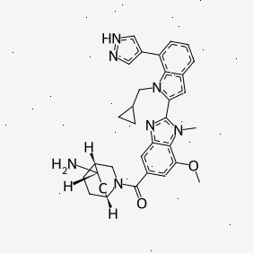 COc1cc(C(=O)N2C[C@H]3CC[C@@H]2C[C@@H]3N)cc2nc(-c3cc4cccc(-c5cn[nH]c5)c4n3CC3CC3)n(C)c12